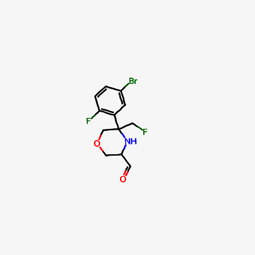 O=CC1COCC(CF)(c2cc(Br)ccc2F)N1